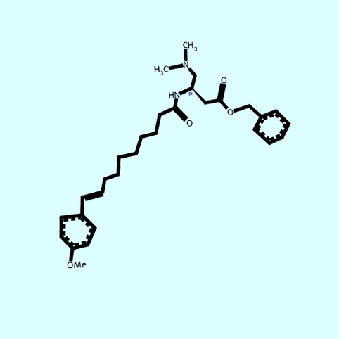 COc1ccc(C=CCCCCCCCC(=O)N[C@H](CC(=O)OCc2ccccc2)CN(C)C)cc1